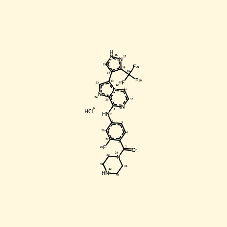 Cl.O=C(c1ccc(Nc2nccn3c(-c4c[nH]nc4C(F)(F)F)cnc23)cc1F)N1CCNCC1